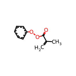 C=C(C)C(=O)OOc1ccccc1